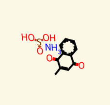 CC1=CC(=O)c2ccccc2C1=O.N.O=S(O)O